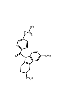 CCCC(=O)Nc1ccc(C(=O)n2c3c(c4cc(SC)ccc42)CC(C(=O)O)CC3)cc1